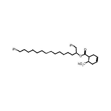 CC(C)CCCCCCCCCCCCCC(CC(C)C)OC(=O)C1CC=CCC1C(=O)O